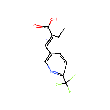 CC/C(=C\c1ccc(C(F)(F)F)nc1)C(=O)O